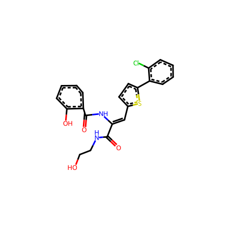 O=C(NCCO)C(=Cc1ccc(-c2ccccc2Cl)s1)NC(=O)c1ccccc1O